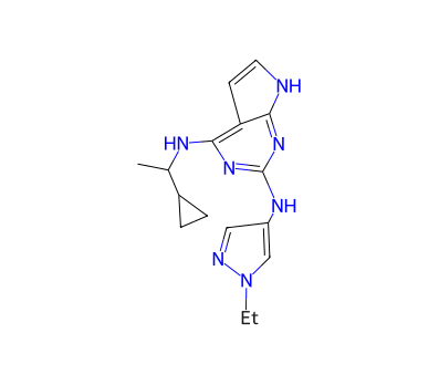 CCn1cc(Nc2nc(NC(C)C3CC3)c3cc[nH]c3n2)cn1